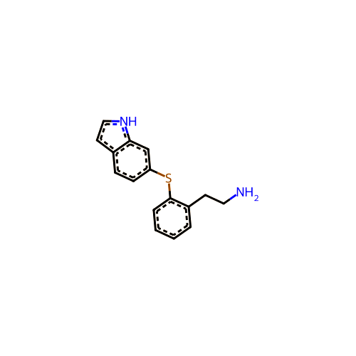 NCCc1ccccc1Sc1ccc2cc[nH]c2c1